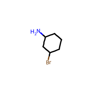 NC1CCCC(Br)C1